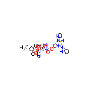 Cc1cc(C)c(S(=O)(=O)N[C@@H](CNC(=O)CO[C@@H]2C[C@@H](CNc3ccccn3)N(C(=S)NCc3ccccc3)C2)C(=O)O)c(C)c1